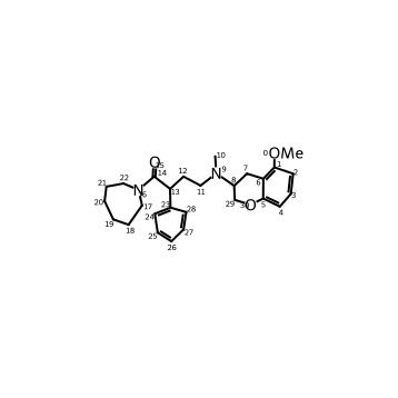 COc1cccc2c1CC(N(C)CCC(C(=O)N1CCCCCC1)c1ccccc1)CO2